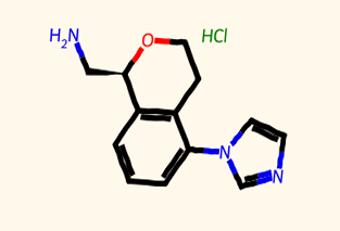 Cl.NC[C@H]1OCCc2c1cccc2-n1ccnc1